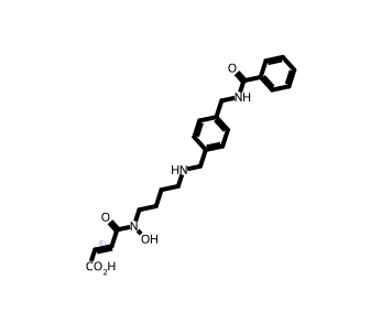 O=C(O)/C=C/C(=O)N(O)CCCCNCc1ccc(CNC(=O)c2ccccc2)cc1